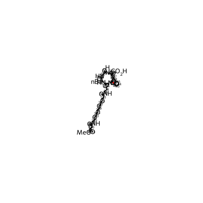 CCCCC1NC(=O)[C@H](CCCCNC(=O)CCOCCOCCOCCOCCNC(=O)CC[PH](=O)OC)NC(=O)C(CC2C=CC=CC2)N(C)C(=O)[C@H](CC(=O)O)NC(=O)CNC1=O